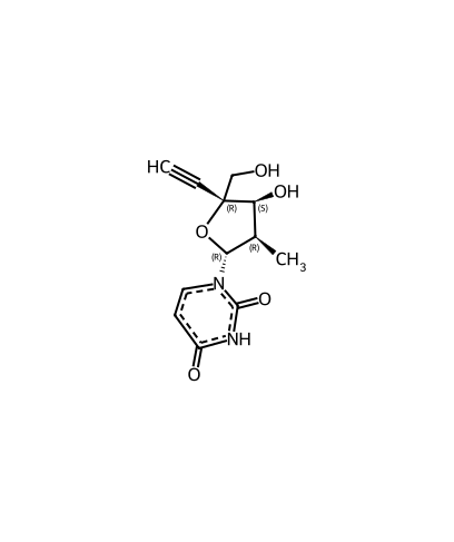 C#C[C@]1(CO)O[C@@H](n2ccc(=O)[nH]c2=O)[C@H](C)[C@@H]1O